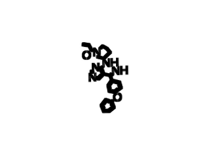 C=CC(=O)N1CCCC(Nc2ncncc2C(=N)c2ccc(Oc3ccccc3)cc2)C1